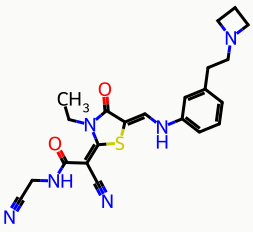 CCn1c(=C(C#N)C(=O)NCC#N)sc(=CNc2cccc(CCN3CCC3)c2)c1=O